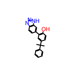 CC(C)(c1ccccc1)c1ccc(O)c(-c2ccc3nn[nH]c3c2)c1